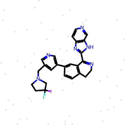 FC1(I)CCN(Cc2cncc(-c3ccc4c(c3)C(c3nc5ccncc5[nH]3)=NCC4)c2)C1